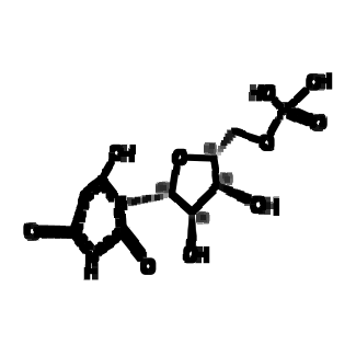 O=c1cc(O)n([C@@H]2O[C@H](COP(=O)(O)O)[C@@H](O)[C@H]2O)c(=O)[nH]1